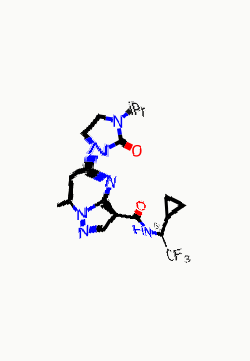 Cc1cc(N2CCN(C(C)C)C2=O)nc2c(C(=O)N[C@@H](C3CC3)C(F)(F)F)cnn12